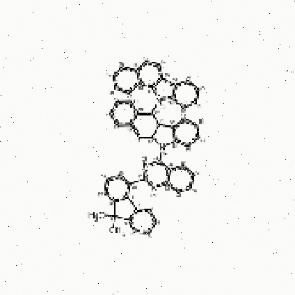 CC1(C)c2ccccc2-c2c(-c3nc(N4c5ccccc5C5C(n6c7ccccc7c7ccc8ccccc8c76)=c6ccccc6=CC54)c4ccccc4n3)cccc21